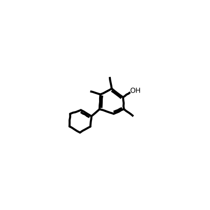 Cc1cc(C2=CCCCC2)c(C)c(C)c1O